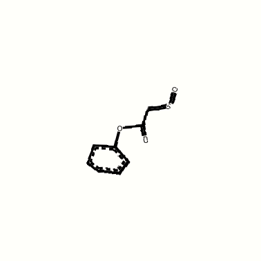 O=S=CC(=O)Oc1ccccc1